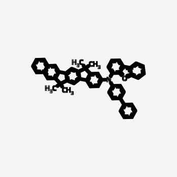 CC1(C)c2cc(N(c3ccc(-c4ccccc4)cc3)c3cccc4c3oc3ccccc34)ccc2-c2cc3c(cc21)-c1cc2ccccc2cc1C3(C)C